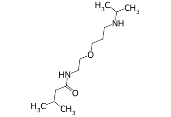 CC(C)CC(=O)NCCOCCCNC(C)C